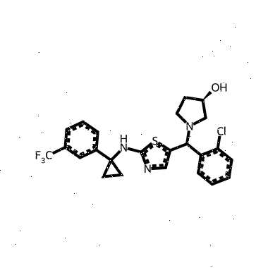 O[C@@H]1CCN(C(c2cnc(NC3(c4cccc(C(F)(F)F)c4)CC3)s2)c2ccccc2Cl)C1